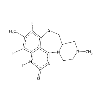 Cc1c(F)c2c3c(nc(=O)n(I)c3c1F)N1CCN(C)CC1CS2